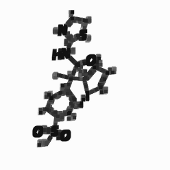 CC(C(=O)Nc1nccs1)(C1=CC=CC1)c1ccc(S(C)(=O)=O)cc1